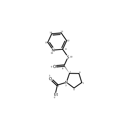 CCC(=O)N1CCC[C@H]1C(=O)Sc1ccccn1